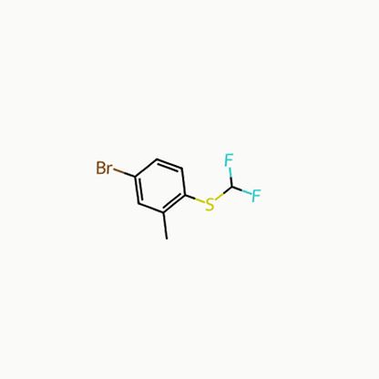 Cc1cc(Br)ccc1SC(F)F